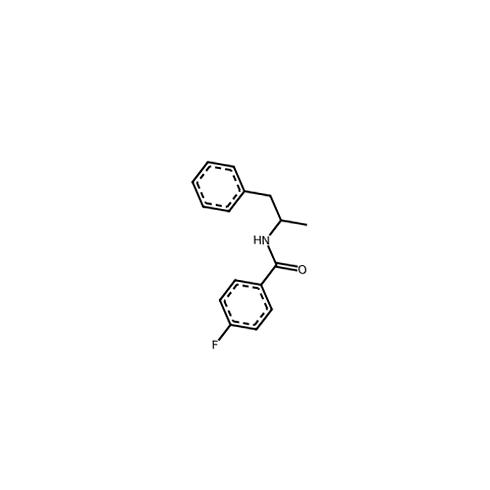 CC(Cc1ccccc1)NC(=O)c1ccc(F)cc1